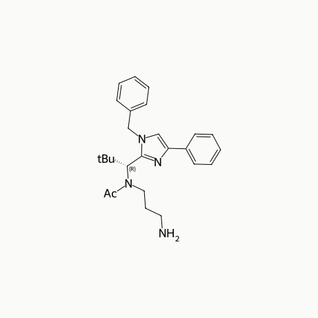 CC(=O)N(CCCN)[C@@H](c1nc(-c2ccccc2)cn1Cc1ccccc1)C(C)(C)C